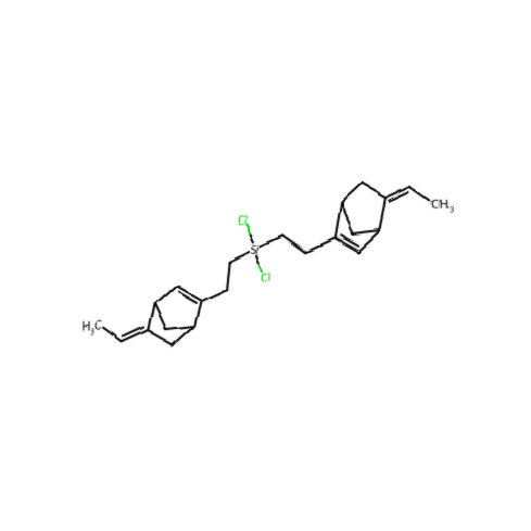 CC=C1CC2CC1C=C2CC[Si](Cl)(Cl)CCC1=CC2CC1CC2=CC